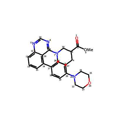 COC(=O)C1CCCN(c2ncnc3cccc(-c4ccc(N5CCOCC5)cc4)c23)C1